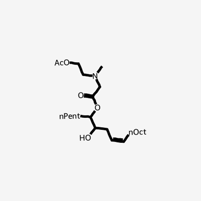 CCCCCCCC/C=C\CC(O)C(CCCCC)OC(=O)CN(C)CCOC(C)=O